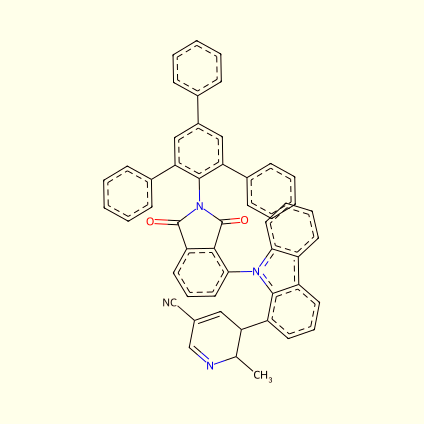 CC1N=CC(C#N)=CC1c1cccc2c3ccccc3n(-c3cccc4c3C(=O)N(c3c(-c5ccccc5)cc(-c5ccccc5)cc3-c3ccccc3)C4=O)c12